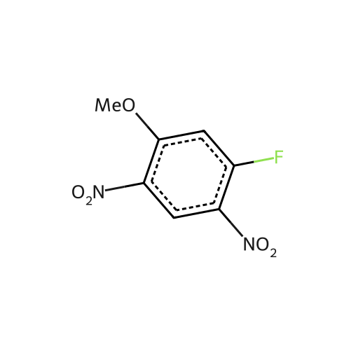 COc1cc(F)c([N+](=O)[O-])cc1[N+](=O)[O-]